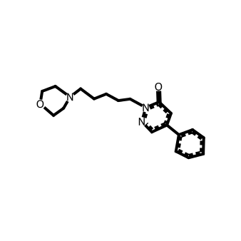 O=c1cc(-c2ccccc2)cnn1CCCCCN1CCOCC1